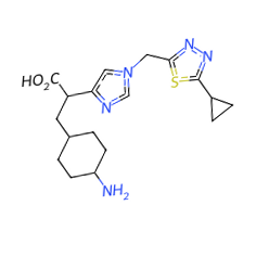 NC1CCC(CC(C(=O)O)c2cn(Cc3nnc(C4CC4)s3)cn2)CC1